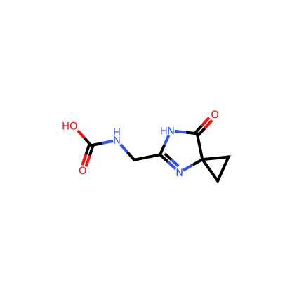 O=C(O)NCC1=NC2(CC2)C(=O)N1